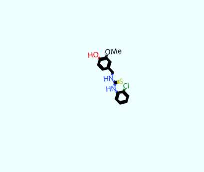 COc1cc(CNC(=S)Nc2ccccc2Cl)ccc1O